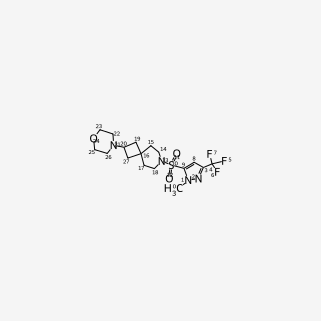 Cn1nc(C(F)(F)F)cc1S(=O)(=O)N1CCC2(CC1)CC(N1CCOCC1)C2